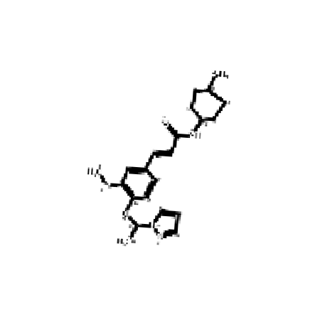 COc1cc(C=CC(=O)NC2CCC(C)CC2)ccc1OC(C)n1cccn1